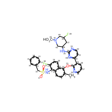 Cc1ccc2c(NS(=O)(=O)Cc3ccccc3)c(F)ccc2c1Oc1ncccc1-c1ccnc(NC2CC(F)CN(C(=O)O)C2)n1